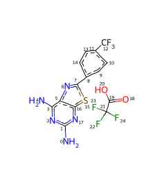 Nc1nc(N)c2nc(-c3ccc(C(F)(F)F)cc3)sc2n1.O=C(O)C(F)(F)F